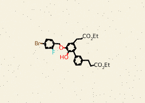 CCOC(=O)CCc1cccc(-c2cc(CCC(=O)OCC)cc(OCc3ccc(Br)cc3F)c2O)c1